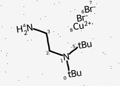 CC(C)(C)N(CCN)C(C)(C)C.[Br-].[Br-].[Cu+2]